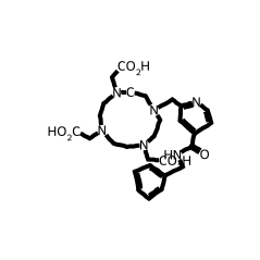 O=C(O)CN1CCN(CC(=O)O)CCN(Cc2cc(C(=O)NCc3ccccc3)ccn2)CCN(CC(=O)O)CC1